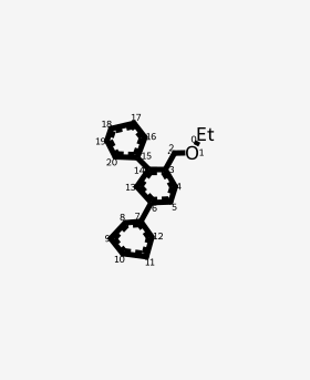 CCO[CH]c1ccc(-c2ccccc2)cc1-c1ccccc1